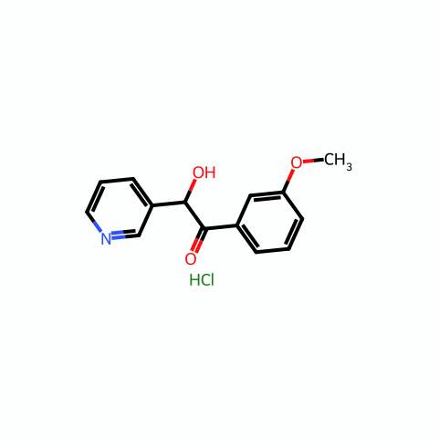 COc1cccc(C(=O)C(O)c2cccnc2)c1.Cl